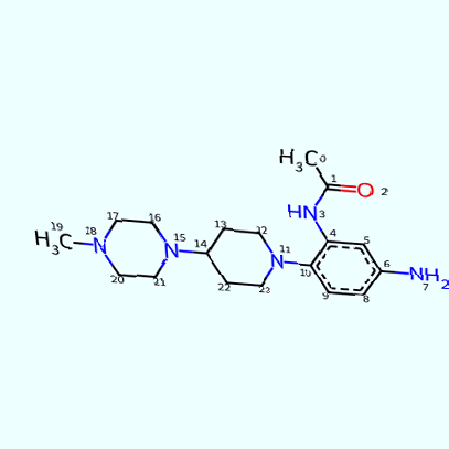 CC(=O)Nc1cc(N)ccc1N1CCC(N2CCN(C)CC2)CC1